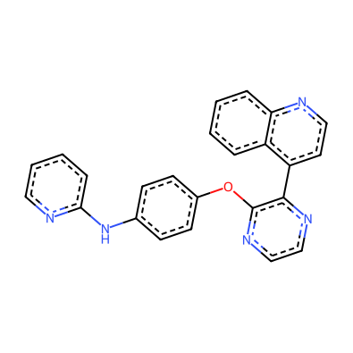 c1ccc(Nc2ccc(Oc3nccnc3-c3ccnc4ccccc34)cc2)nc1